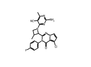 Cc1nc(N)nc(N2CC(C)C2c2nn3ccc(Cl)c3c(=O)n2-c2ccc(F)cc2)c1C#N